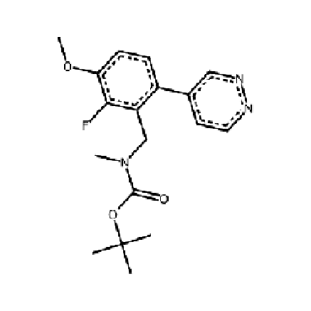 COc1ccc(-c2ccnnc2)c(CN(C)C(=O)OC(C)(C)C)c1F